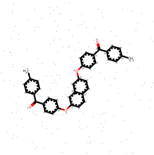 Cc1ccc(C(=O)c2ccc(Oc3ccc4ccc(Oc5ccc(C(=O)c6ccc(C)cc6)cc5)cc4c3)cc2)cc1